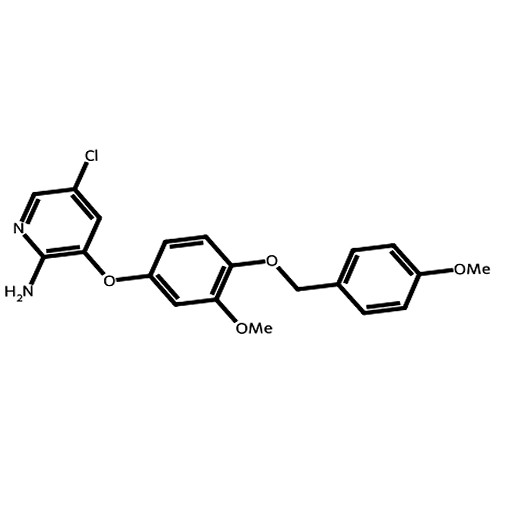 COc1ccc(COc2ccc(Oc3cc(Cl)cnc3N)cc2OC)cc1